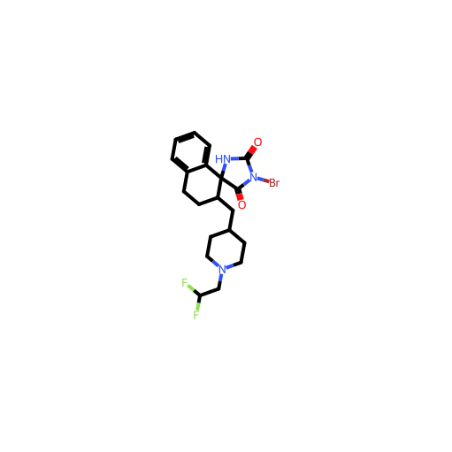 O=C1NC2(C(=O)N1Br)c1ccccc1CCC2CC1CCN(CC(F)F)CC1